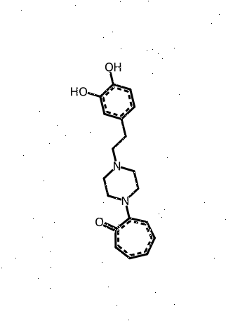 O=c1cccccc1N1CCN(CCc2ccc(O)c(O)c2)CC1